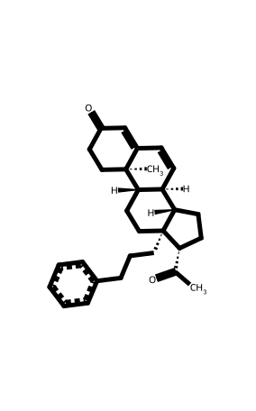 CC(=O)[C@H]1CC[C@H]2[C@@H]3C=CC4=CC(=O)CC[C@]4(C)[C@H]3CC[C@]12CCCc1ccccc1